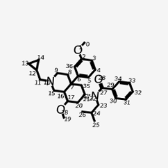 COc1cccc(C23CCN(CC4CC4)CC2C(OC)C[C@@H](N(CC(C)C)C(=O)c2ccccc2)C3)c1